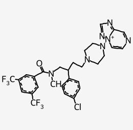 CN(CC(CCN1CCN([N+]23C=CN=CC2=NC=N3)CC1)c1ccc(Cl)cc1)C(=O)c1cc(C(F)(F)F)cc(C(F)(F)F)c1